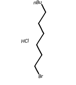 CCCCCCCCCCBr.Cl